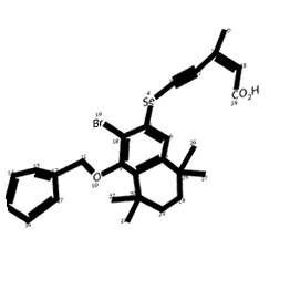 CC(C#C[Se]c1cc2c(c(OCc3ccccc3)c1Br)C(C)(C)CCC2(C)C)=CC(=O)O